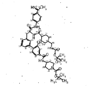 CC(=N)c1ccc(NC(=O)[C@H](Cc2cccc(-c3ccc(C(=O)NC4CCN(C(=O)OC(C)(C)C)CC4)cc3C)c2)NC(=O)C2CCC(CNC(=O)OC(C)(C)C)CC2)cc1